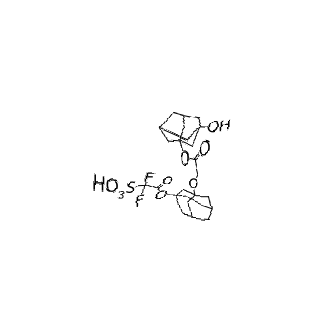 O=C(COC12CC3CC(C1)CC(OC(=O)C(F)(F)S(=O)(=O)O)(C3)C2)OC12CC3CC(CC(O)(C3)C1)C2